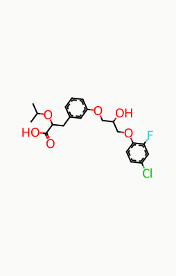 CC(C)OC(Cc1cccc(OCC(O)COc2ccc(Cl)cc2F)c1)C(=O)O